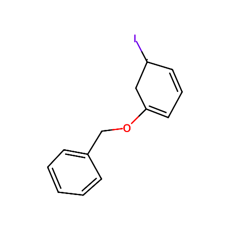 I[C]1C=CC=C(OCc2ccccc2)C1